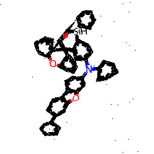 c1ccc(-c2ccc3c(c2)oc2cc(N(c4ccccc4)c4ccc5c(c4)C4(c6ccccc6Oc6ccccc64)c4ccccc4[SiH]5c4ccccc4)ccc23)cc1